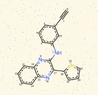 C#Cc1cccc(Nc2nc3ccccc3nc2-c2cccs2)c1